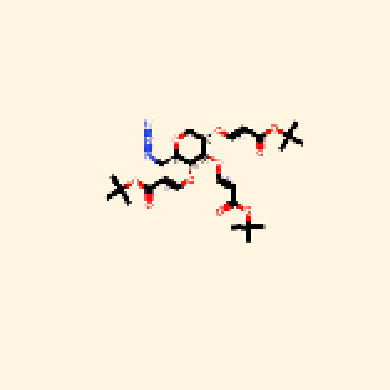 CC(C)(C)OC(=O)/C=C/O[C@H]1[C@H](O/C=C/C(=O)OC(C)(C)C)[C@@H](CN=[N+]=[N-])OC[C@@H]1O/C=C/C(=O)OC(C)(C)C